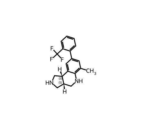 Cc1cc(-c2ccccc2C(F)(F)F)cc2c1NC[C@@H]1CNC[C@H]21